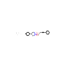 COc1ccc(C2CCN(S(=O)(=O)CCC#Cc3ccccc3)CC2)cc1